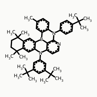 Cc1ccc2c(c1)B1c3cc4c(cc3N(c3cc(C(C)(C)C)cc(C(C)(C)C)c3)c3ccnc(c31)N2c1ccc(C(C)(C)C)cc1)C(C)(C)CCC4(C)C